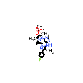 COC(=O)Oc1c(C)nn(-c2cc(Nc3c(C)c(-c4ccc(F)cc4)nn3CC3CC3)ncn2)c1C